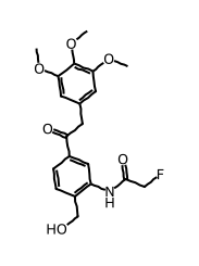 COc1cc(CC(=O)c2ccc(CO)c(NC(=O)CF)c2)cc(OC)c1OC